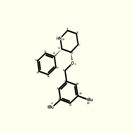 CC(C)(C)c1cc(CO[C@H]2CCCN[C@H]2c2ccccc2)cc(C(C)(C)C)c1